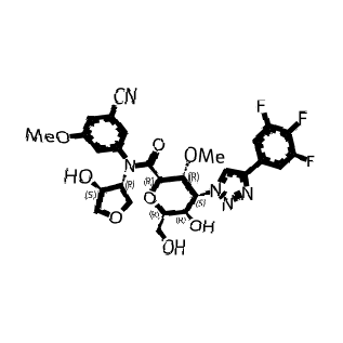 COc1cc(C#N)cc(N(C(=O)[C@@H]2O[C@H](CO)[C@H](O)[C@H](n3cc(-c4cc(F)c(F)c(F)c4)nn3)[C@H]2OC)[C@@H]2COC[C@H]2O)c1